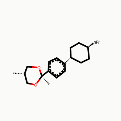 CCC[C@H]1CC[C@H](c2ccc([C@]3(C)OC[C@@H](C)CO3)cc2)CC1